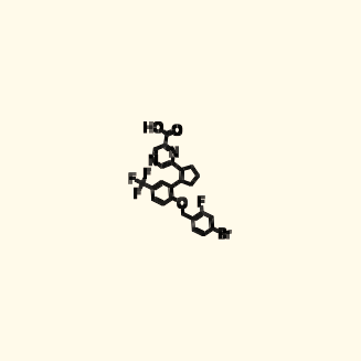 O=C(O)c1cncc(C2=C(c3cc(C(F)(F)F)ccc3OCc3ccc(Br)cc3F)CCC2)n1